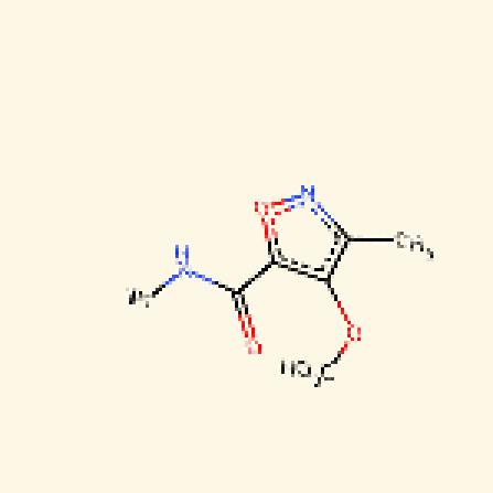 Cc1noc(C(=O)NC(C)C)c1OC(=O)O